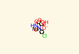 O=C(O)c1c(C(=O)[O-])n(-c2ccc(Cl)cc2)c(=O)[nH]c1=O.[Na+]